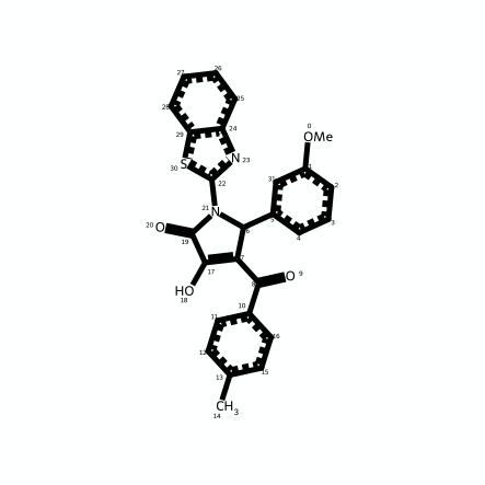 COc1cccc(C2C(C(=O)c3ccc(C)cc3)=C(O)C(=O)N2c2nc3ccccc3s2)c1